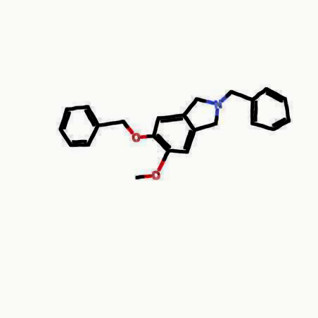 COc1cc2c(cc1OCc1ccccc1)CN(Cc1ccccc1)C2